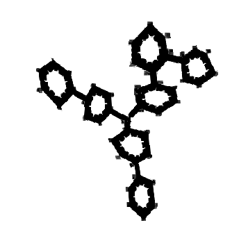 c1ccc(-c2ccc(N(c3ccc(-c4ccccc4)cc3)c3cccc(-c4ccccc4-c4ccccc4)n3)cc2)cc1